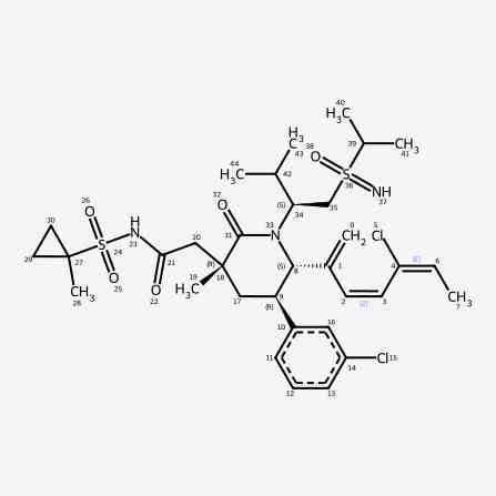 C=C(/C=C\C(Cl)=C/C)[C@@H]1[C@@H](c2cccc(Cl)c2)C[C@](C)(CC(=O)NS(=O)(=O)C2(C)CC2)C(=O)N1[C@H](CS(=N)(=O)C(C)C)C(C)C